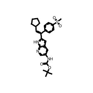 CC(C)(C)OC(=O)Nc1cnc2[nH]c(/C(=C/C3CCCC3)c3ccc(S(C)(=O)=O)cc3)cc2c1